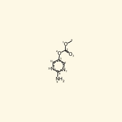 COC(=O)Oc1cnc(N)nc1